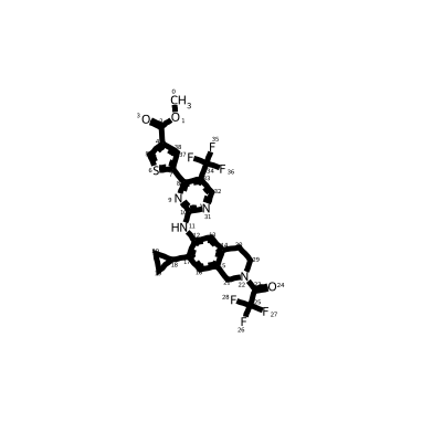 COC(=O)c1csc(-c2nc(Nc3cc4c(cc3C3CC3)CN(C(=O)C(F)(F)F)CC4)ncc2C(F)(F)F)c1